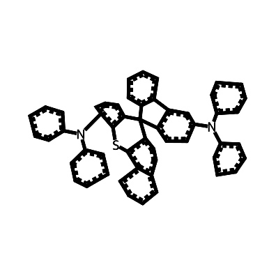 c1ccc(N(c2ccccc2)c2ccc3c(c2)-c2ccccc2C32c3cccc(N(c4ccccc4)c4ccccc4)c3Sc3c2ccc2ccccc32)cc1